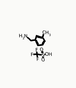 Cc1cccc(CN)c1.O=S(=O)(O)C(F)(F)F